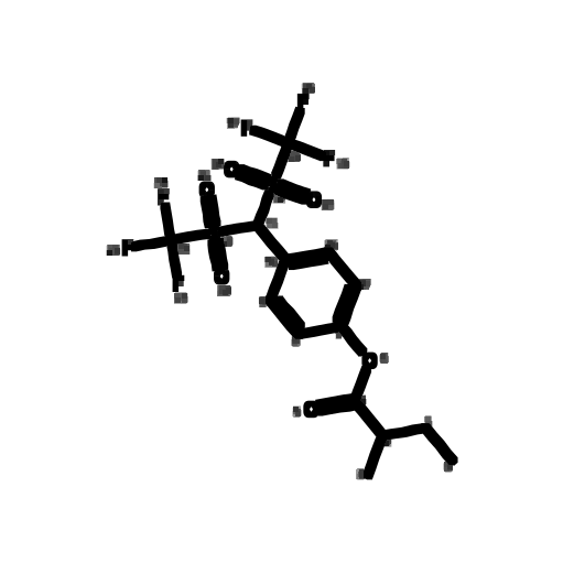 CCC(C)C(=O)Oc1ccc(C(S(=O)(=O)C(F)(F)F)S(=O)(=O)C(F)(F)F)cc1